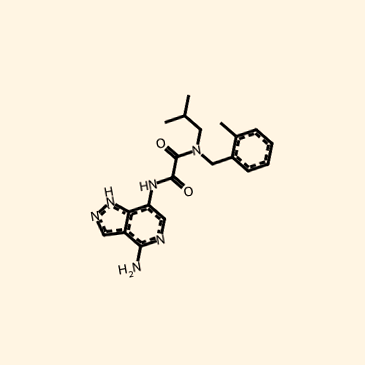 Cc1ccccc1CN(CC(C)C)C(=O)C(=O)Nc1cnc(N)c2cn[nH]c12